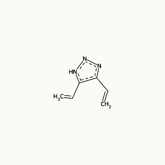 C=Cc1nn[nH]c1C=C